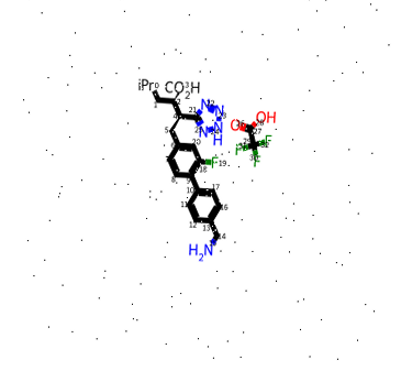 CC(C)C[C@H](C(=O)O)[C@H](Cc1ccc(-c2ccc(CN)cc2)c(F)c1)c1nn[nH]n1.O=C(O)C(F)(F)F